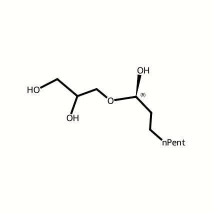 CCCCCCC[C@H](O)OCC(O)CO